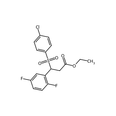 CCOC(=O)CC(c1cc(F)ccc1F)S(=O)(=O)c1ccc(Cl)cc1